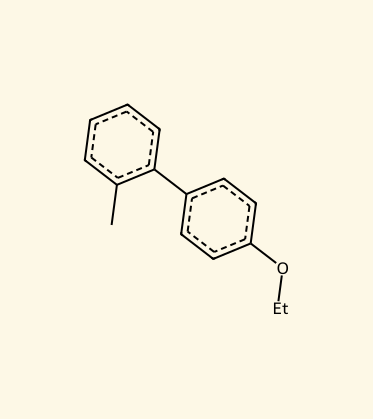 CCOc1ccc(-c2ccccc2C)cc1